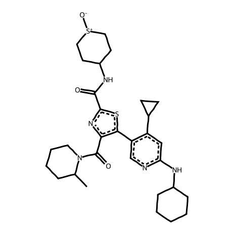 CC1CCCCN1C(=O)c1nc(C(=O)NC2CC[S+]([O-])CC2)sc1-c1cnc(NC2CCCCC2)cc1C1CC1